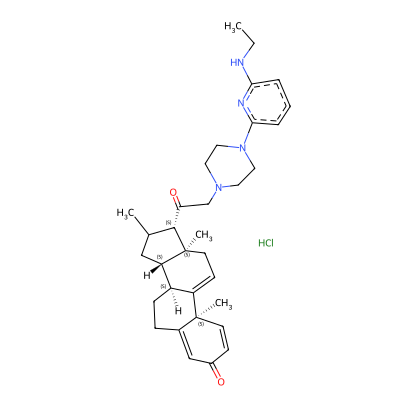 CCNc1cccc(N2CCN(CC(=O)[C@H]3C(C)C[C@H]4[C@@H]5CCC6=CC(=O)C=C[C@]6(C)C5=CC[C@]34C)CC2)n1.Cl